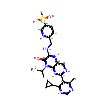 Cc1ncnc(C2CC2)c1-c1ncc2nc(NCc3ccc(S(C)(=O)=O)cn3)c(=O)n(C(C)C(F)(F)F)c2n1